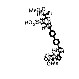 COC(=O)NC(C(=O)N1CN(C(=O)O)CC1c1ncc(-c2ccc(-c3ccc(-c4cnc(-c5cccn5C(=O)C(NC(=O)OC)C(C)C)[nH]4)cc3)cc2)[nH]1)C(C)C